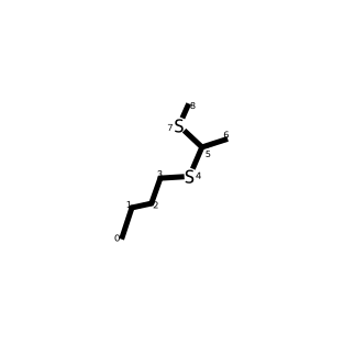 CCCCS[C](C)SC